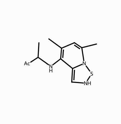 CC(=O)C(C)NC1=C(C)C=C(C)N2SNC=C12